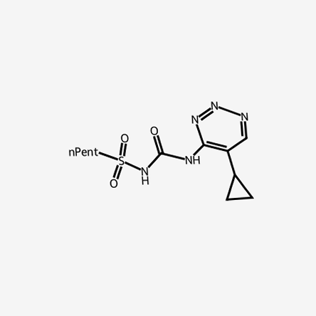 CCCCCS(=O)(=O)NC(=O)Nc1nnncc1C1CC1